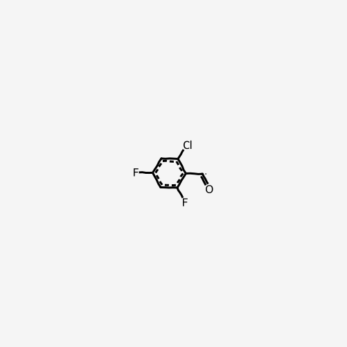 O=[C]c1c(F)cc(F)cc1Cl